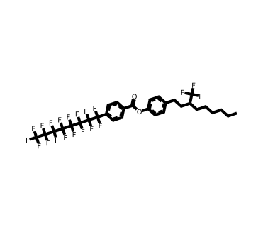 CCCCCCC(CCc1ccc(OC(=O)c2ccc(C(F)(F)C(F)(F)C(F)(F)C(F)(F)C(F)(F)C(F)(F)C(F)(F)C(F)(F)F)cc2)cc1)C(F)(F)F